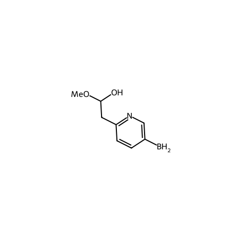 Bc1ccc(CC(O)OC)nc1